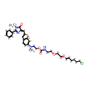 CN1C(=O)/C(=C/c2cc3ccc(N(C)CCOC(=O)NCCOCCOCCCCCCCl)cc3s2)N=C1c1ccccc1